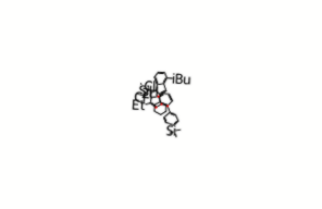 CCC1=Cc2c(-c3ccc([Si](C)(C)C)cc3)cccc2[CH]1[Zr]([Cl])([Cl])([CH]1C(C2CCCCC2)=Cc2c(C(C)CC)cccc21)[SiH](C)C